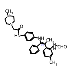 C/C(=C(\Nc1ccc(NC(=O)CN2CCN(C)CC2)cc1)c1ccccc1)c1ccc(C)cc1NC=O